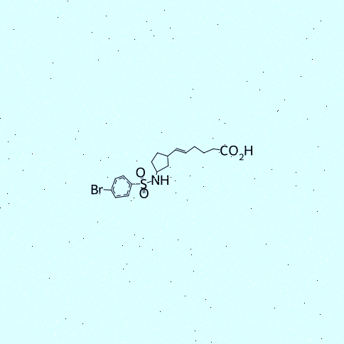 O=C(O)CCCC=CC1CCC(NS(=O)(=O)c2ccc(Br)cc2)C1